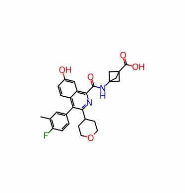 Cc1cc(-c2c(C3CCOCC3)nc(C(=O)NC34CC(C(=O)O)(C3)C4)c3cc(O)ccc23)ccc1F